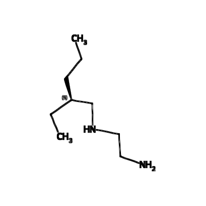 CCC[C@H](CC)CNCCN